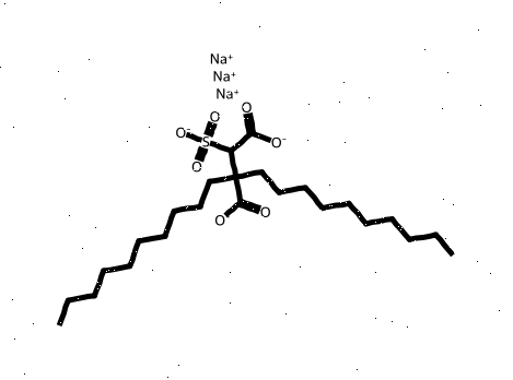 CCCCCCCCCCC(CCCCCCCCCC)(C(=O)[O-])C(C(=O)[O-])S(=O)(=O)[O-].[Na+].[Na+].[Na+]